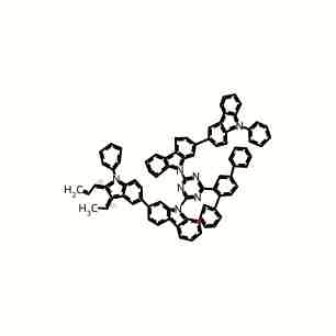 C=C/C=c1\c(=C/C)c2cc(-c3ccc4c5ccccc5n(-c5nc(-c6cc(-c7ccccc7)ccc6-c6ccccc6)nc(-n6c7ccccc7c7ccc(-c8ccc9c(c8)c8ccccc8n9-c8ccccc8)cc76)n5)c4c3)ccc2n1-c1ccccc1